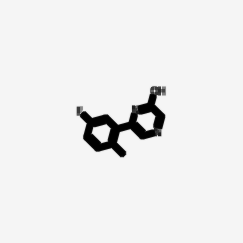 Cc1ccc(F)cc1-c1cncc(O)n1